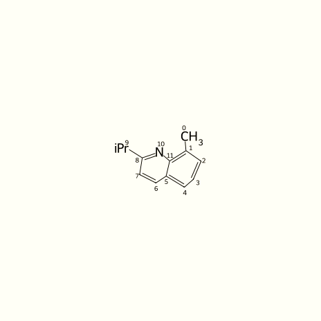 Cc1cccc2ccc(C(C)C)nc12